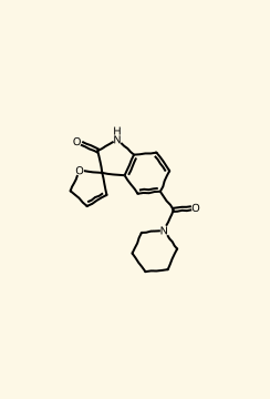 O=C(c1ccc2c(c1)C1(C=CCO1)C(=O)N2)N1CCCCC1